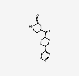 O=C=C1CN(C(=O)C2CCN(c3ccncc3)CC2)CCN1